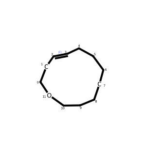 [CH]1C/C=C/CCCCCCCO1